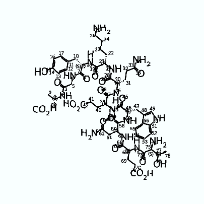 C[C@H](NC(=O)CNC(=O)[C@H](Cc1ccc(O)cc1)NC(=O)[C@H](CCCCN)NC(=O)[C@H](CCC(N)=O)NC(=O)[C@H](CCC(=O)O)NC(=O)[C@H](Cc1c[nH]c2ccccc12)NC(=O)[C@H](CC(N)=O)NC(=O)[C@H](CCC(=O)O)NC(=O)[C@@H](N)[C@@H](C)O)C(=O)O